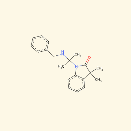 CC1(C)C(=O)N(C(C)(C)NCc2ccccc2)c2ccccc21